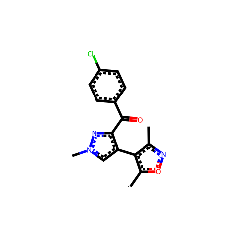 [CH2]c1onc(C)c1-c1cn(C)nc1C(=O)c1ccc(Cl)cc1